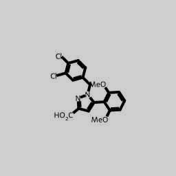 COc1cccc(OC)c1-c1cc(C(=O)O)nn1Cc1ccc(Cl)c(Cl)c1